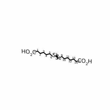 O=C(O)CCCCCC[Se][Se]CCCCCCC(=O)O